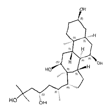 C[C@H](C[C@H](O)CC(C)(C)O)[C@H]1CC[C@H]2[C@@H]3[C@H](O)C[C@@H]4C[C@H](O)CC[C@]4(C)[C@H]3C[C@H](O)[C@]12C